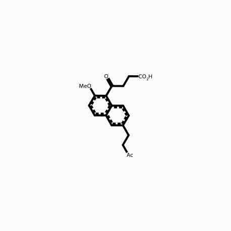 COc1ccc2cc(CCC(C)=O)ccc2c1C(=O)CCC(=O)O